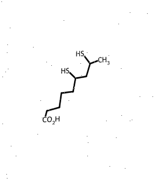 CC(S)CC(S)CCCCC(=O)O